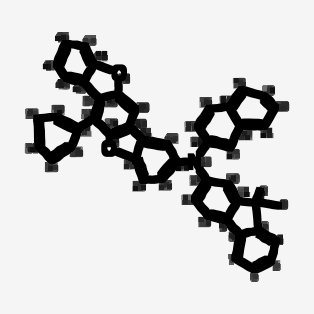 CC1(C)c2ccccc2-c2ccc(N(c3ccc4ccccc4c3)c3ccc4oc5c(-c6ccccc6)c6c(cc5c4c3)oc3ccccc36)cc21